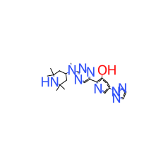 CN(c1ncc(-c2ncc(-n3nccn3)cc2O)nn1)C1CC(C)(C)NC(C)(C)C1